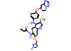 C=CC(=O)Nc1cc2c(Nc3ccc(Oc4ccn5ncnc5c4)c(F)c3)c(C#N)cnc2cc1OCC1CCN(C)C1